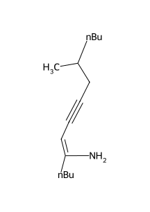 CCCC/C(N)=C/C#CCC(C)CCCC